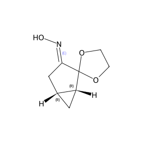 O/N=C1\C[C@H]2C[C@H]2C12OCCO2